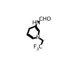 O=CNC1=CN(CC(F)(F)F)C=CC1